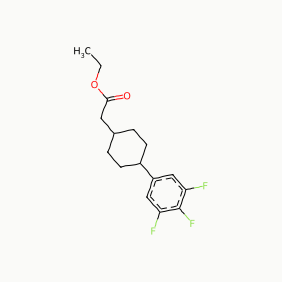 CCOC(=O)CC1CCC(c2cc(F)c(F)c(F)c2)CC1